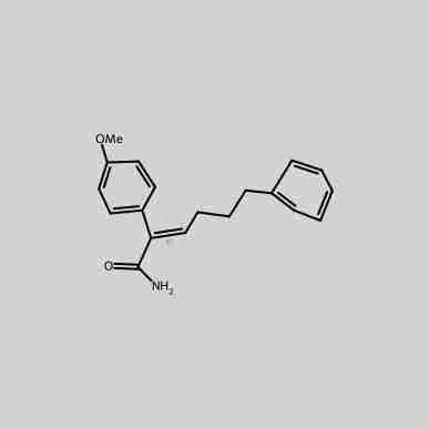 COc1ccc(/C(=C\CCCc2ccccc2)C(N)=O)cc1